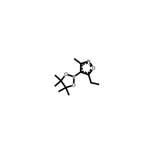 CCc1onc(C)c1B1OC(C)(C)C(C)(C)O1